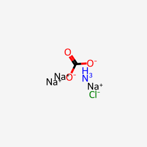 N.O=C([O-])[O-].[Cl-].[Na+].[Na+].[Na+]